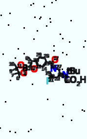 Cc1c(B2OC(C)(C)C(C)(C)O2)oc2cc(C(=O)N3C[C@H](F)C[C@@H](N(C(=O)O)C(C)(C)C)C3)ccc12